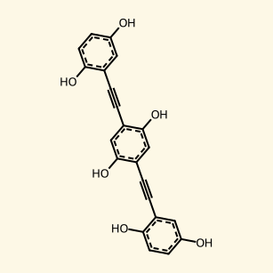 Oc1ccc(O)c(C#Cc2cc(O)c(C#Cc3cc(O)ccc3O)cc2O)c1